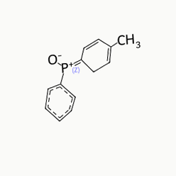 CC1=CC/C(=[P+](/[O-])c2ccccc2)C=C1